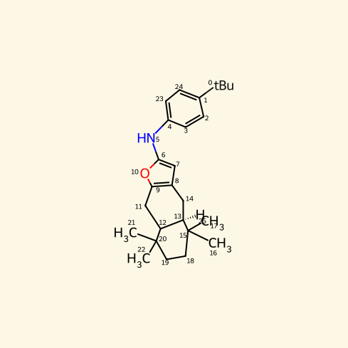 CC(C)(C)c1ccc(Nc2cc3c(o2)CC2[C@@H](C3)C(C)(C)CCC2(C)C)cc1